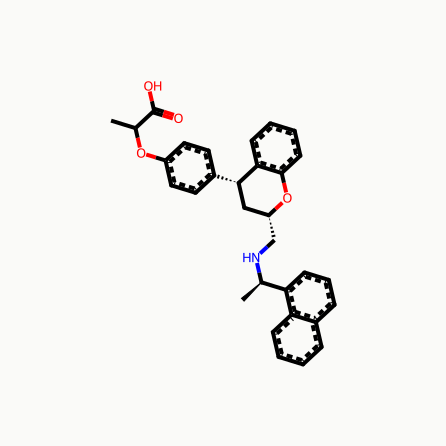 CC(Oc1ccc([C@H]2C[C@@H](CN[C@H](C)c3cccc4ccccc34)Oc3ccccc32)cc1)C(=O)O